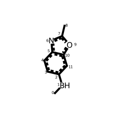 CBc1ccc2nc(C)oc2c1